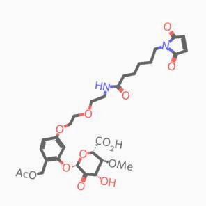 CO[C@H]1[C@H](O)C(=O)[C@H](Oc2cc(OCCOCCNC(=O)CCCCCN3C(=O)C=CC3=O)ccc2COC(C)=O)O[C@@H]1C(=O)O